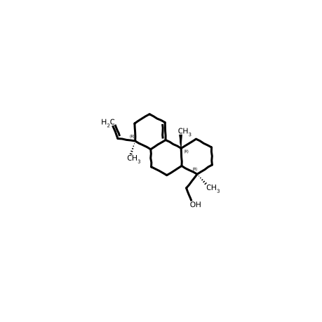 C=C[C@@]1(C)CCC=C2C1CCC1[C@](C)(CO)CCC[C@@]21C